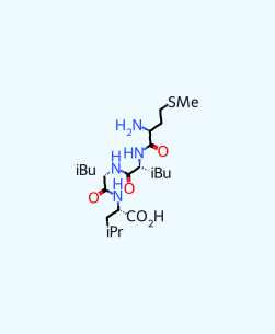 CC[C@H](C)[C@H](NC(=O)[C@@H](NC(=O)[C@@H](N)CCSC)[C@@H](C)CC)C(=O)N[C@@H](CC(C)C)C(=O)O